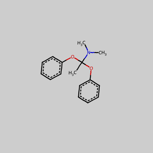 CN(C)C(C)(Oc1ccccc1)Oc1ccccc1